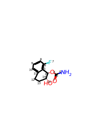 NC(=O)O[C@H]1c2c(F)cccc2CC[C@H]1O